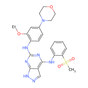 CCOc1cc(N2CCOCC2)ccc1Nc1nc(Nc2ccccc2S(C)(=O)=O)c2cn[nH]c2n1